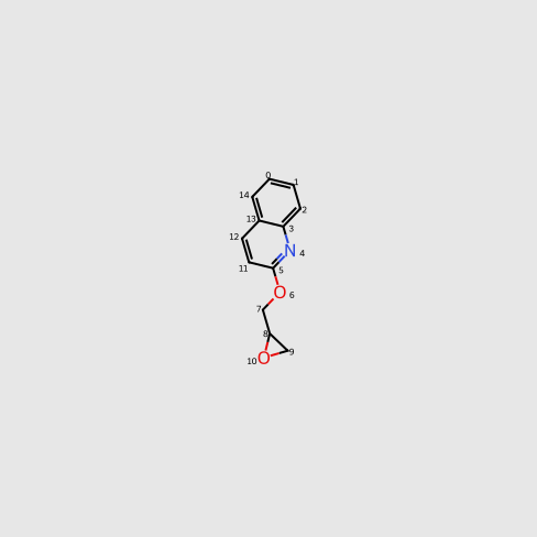 c1ccc2nc(OCC3CO3)ccc2c1